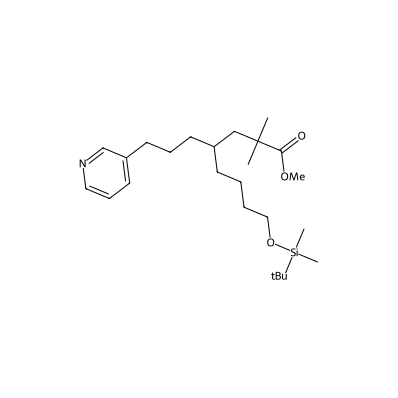 COC(=O)C(C)(C)CC(CCCCO[Si](C)(C)C(C)(C)C)CCCc1cccnc1